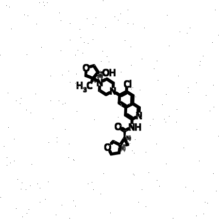 C[C@@]1(N2CCN(c3cc4cc(NC(=O)[C@H]5C[C@@]56CCOC6)ncc4cc3Cl)CC2)COC[C@@H]1O